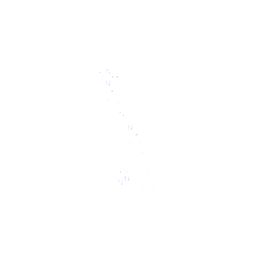 CC(C)n1ncn(-c2ccc(N3CCN(c4ccc(OC[C@@H]5CO[C@@](Cn6nccn6)(c6ccccc6)O5)cc4)CC3)cc2)c1=O